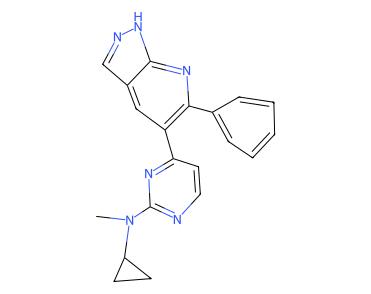 CN(c1nccc(-c2cc3cn[nH]c3nc2-c2ccccc2)n1)C1CC1